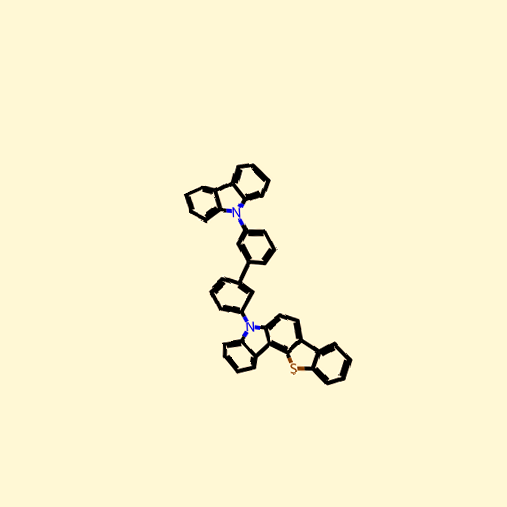 c1cc(-c2cccc(-n3c4ccccc4c4c5sc6ccccc6c5ccc43)c2)cc(-n2c3ccccc3c3ccccc32)c1